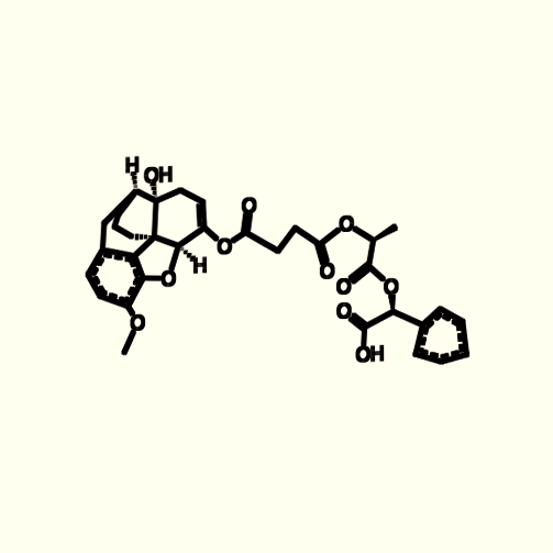 COc1ccc2c3c1O[C@@H]1C(OC(=O)CCC(=O)O[C@@H](C)C(=O)O[C@H](C(=O)O)c4ccccc4)=CC[C@]4(O)[C@@H](CCC[C@@]314)C2